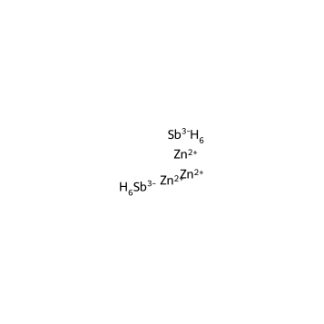 [SbH6-3].[SbH6-3].[Zn+2].[Zn+2].[Zn+2]